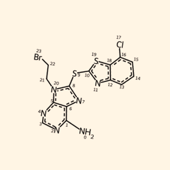 Nc1ncnc2c1nc(Sc1nc3cccc(Cl)c3s1)n2CCBr